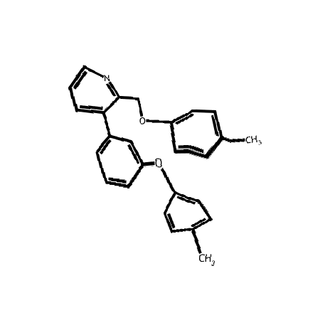 Cc1ccc(OCc2ncccc2-c2cccc(Oc3ccc(C)cc3)c2)cc1